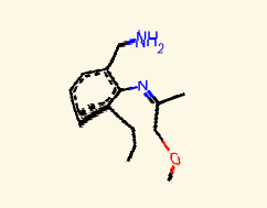 CCc1cccc(CN)c1N=C(C)COC